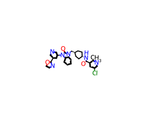 Cc1ncc(Cl)cc1C(=O)N[C@H]1CC[C@H](Cn2c(=O)n(-c3cncc(-c4ncco4)c3)c3ccccc32)CC1